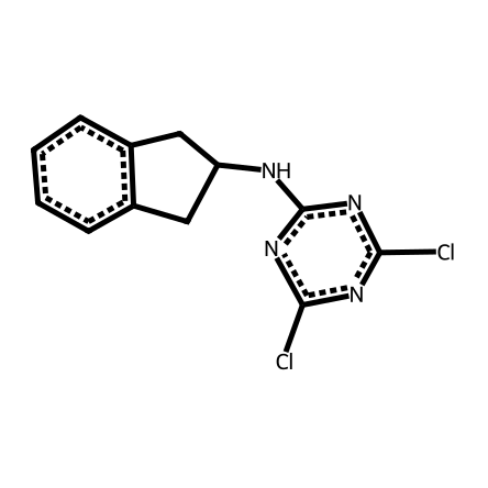 Clc1nc(Cl)nc(NC2Cc3ccccc3C2)n1